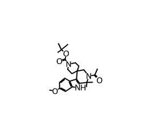 COc1ccc2c3c([nH]c2c1)C(C)(C)N(C(C)=O)CC31CCN(C(=O)OC(C)(C)C)CC1